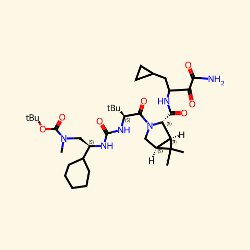 CN(C[C@@H](NC(=O)N[C@H](C(=O)N1C[C@H]2[C@@H]([C@H]1C(=O)NC(CC1CC1)C(=O)C(N)=O)C2(C)C)C(C)(C)C)C1CCCCC1)C(=O)OC(C)(C)C